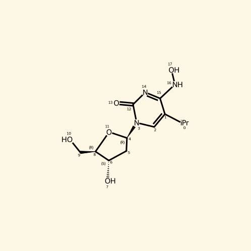 CC(C)c1cn([C@H]2C[C@H](O)[C@@H](CO)O2)c(=O)nc1NO